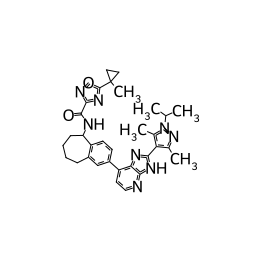 Cc1nn(C(C)C)c(C)c1-c1nc2c(-c3ccc4c(c3)CCCCC4NC(=O)c3noc(C4(C)CC4)n3)ccnc2[nH]1